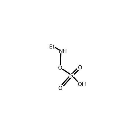 CCNOS(=O)(=O)O